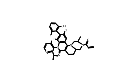 C=CC(=O)N1CC2CCc3c(c4cc(Cl)c(-c5c(O)cccc5F)c(F)c4n(-c4c(C)ccnc4C(C)C)c3=O)N2CC1C